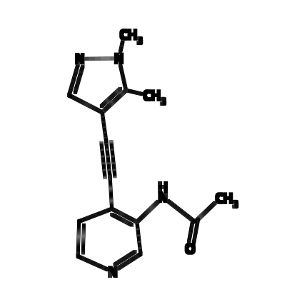 CC(=O)Nc1cnccc1C#Cc1cnn(C)c1C